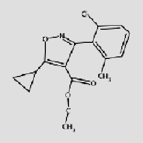 CCOC(=O)c1c(-c2c(C)cccc2Cl)noc1C1CC1